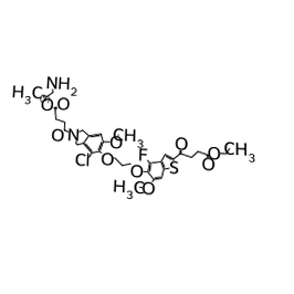 CCOC(=O)CCC(=O)c1cc2c(F)c(OCCCOc3c(OC)cc4c(c3Cl)CN(C(=O)CCC(=O)O[C@@H](C)CN)C4)c(OC)cc2s1